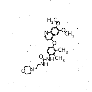 COc1cc2nccc(Oc3ccc(NC(=O)NCCN4CCOCC4)c(C)c3C)c2cc1OC